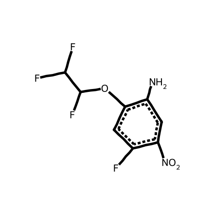 Nc1cc([N+](=O)[O-])c(F)cc1OC(F)C(F)F